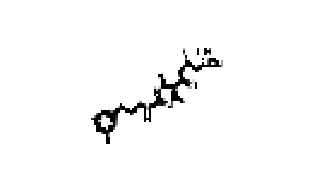 Cc1cccc(CCCNc2nc(C)c(C(=O)C[C@@H](CC(C)(C)C)C(=O)O)c(C)n2)c1